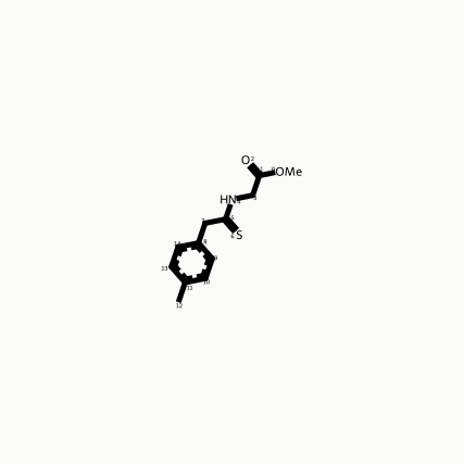 COC(=O)CNC(=S)Cc1ccc(C)cc1